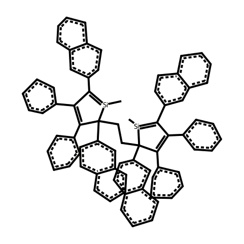 C[Si]1=C(c2ccc3ccccc3c2)C(c2ccccc2)=C(c2ccccc2)C1(CCC1(c2ccc3ccccc3c2)C(c2ccccc2)=C(c2ccccc2)C(c2ccc3ccccc3c2)=[Si]1C)c1ccc2ccccc2c1